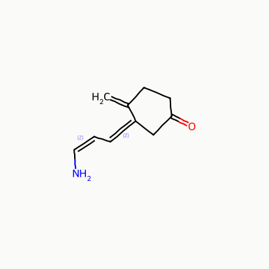 C=C1CCC(=O)C/C1=C/C=C\N